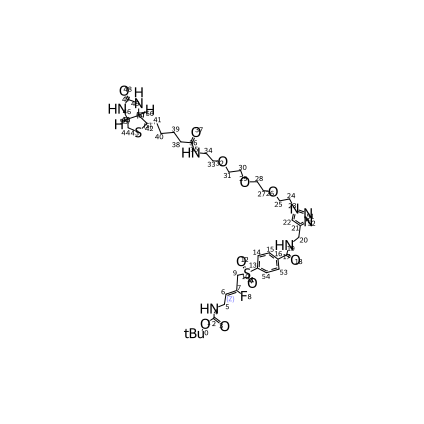 CC(C)(C)OC(=O)NC/C=C(\F)CS(=O)(=O)c1ccc(C(=O)NCc2cn(CCOCCOCCOCCNC(=O)CCCC[C@@H]3SC[C@@H]4NC(=O)N[C@@H]43)nn2)cc1